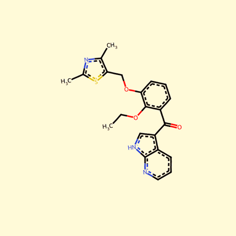 CCOc1c(OCc2sc(C)nc2C)cccc1C(=O)c1c[nH]c2ncccc12